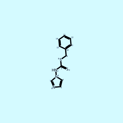 S=C(Nn1ccnc1)SCc1ccccc1